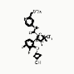 COCc1cc(NC(=O)[C@@H]2O[C@@](C)(C(F)(F)F)[C@@H](C)[C@H]2c2ccc(F)c(F)c2O[C@H]2C[C@@H](O)C2)ccn1